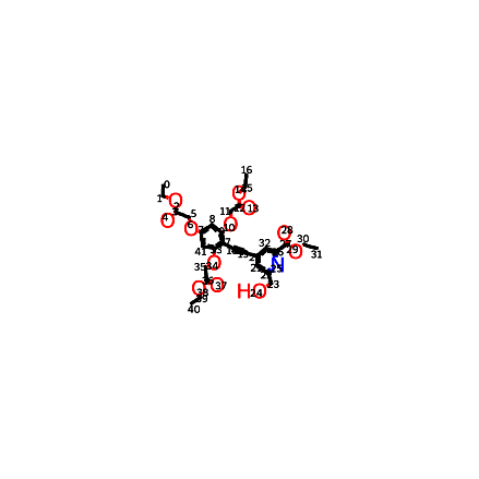 CCOC(=O)COc1cc(OCC(=O)OCC)c(C#Cc2cc(CO)nc(C(=O)OCC)c2)c(OCC(=O)OCC)c1